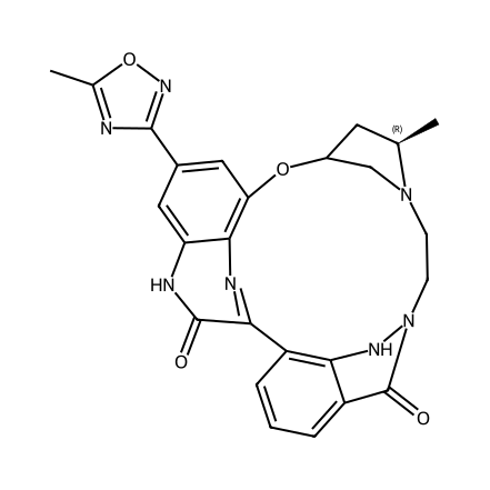 Cc1nc(-c2cc3c4nc(c(=O)[nH]c4c2)-c2cccc4c(=O)n([nH]c24)CCN2CC(C[C@H]2C)O3)no1